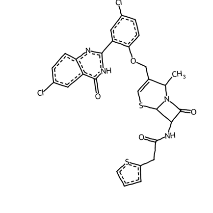 CC1C(COc2ccc(Cl)cc2-c2nc3ccc(Cl)cc3c(=O)[nH]2)=CSC2C(NC(=O)Cc3cccs3)C(=O)N12